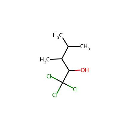 CC(C)C(C)C(O)C(Cl)(Cl)Cl